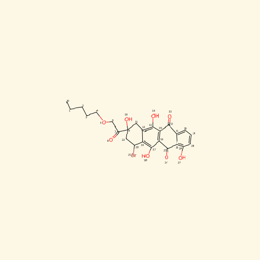 CCCCCOCC(=O)C1(O)Cc2c(O)c3c(c(O)c2C(Br)C1)C(=O)c1c(O)cccc1C3=O